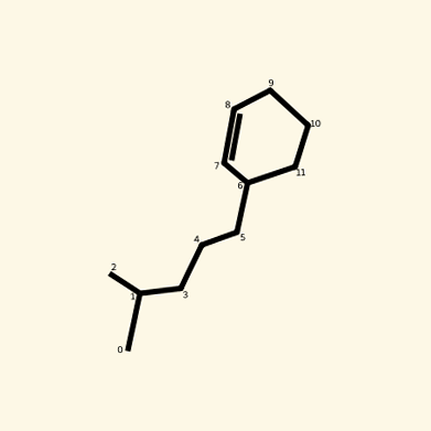 CC(C)CCC[C]1C=CCCC1